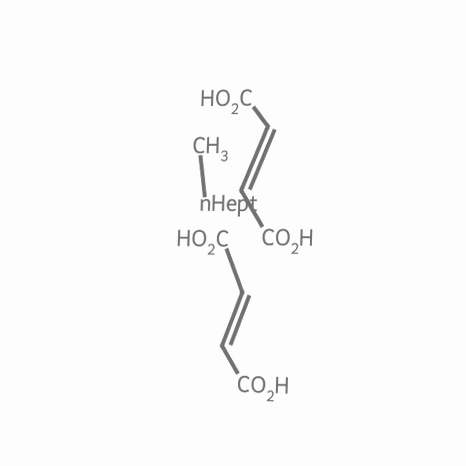 CCCCCCCC.O=C(O)C=CC(=O)O.O=C(O)C=CC(=O)O